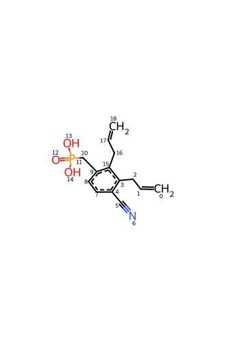 C=CCc1c(C#N)ccc(CP(=O)(O)O)c1CC=C